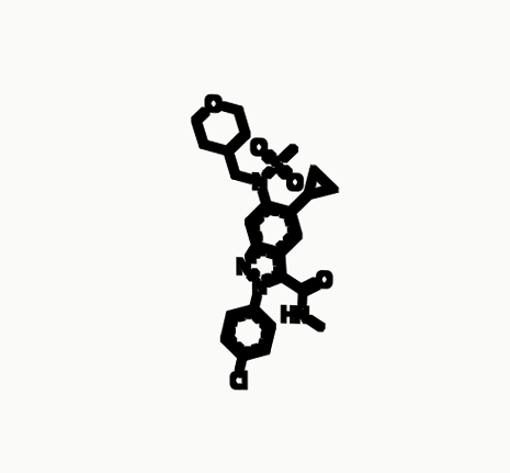 CNC(=O)c1c2cc(C3CC3)c(N(CC3CCOCC3)S(C)(=O)=O)cc2nn1-c1ccc(Cl)cc1